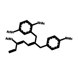 C=C/C(=C\C=C(\Cc1ccc(NC(C)=O)cc1)Cc1cc(NC(C)=O)ccc1NC(C)=O)NC(C)=O